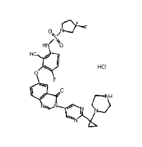 Cl.N#Cc1c(NS(=O)(=O)N2CC[C@@H](F)C2)ccc(F)c1Oc1ccc2ncn(-c3cnc(C4(N5CCNCC5)CC4)nc3)c(=O)c2c1